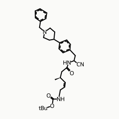 C[C@H](/C=C\CNC(=O)OC(C)(C)C)CC(=O)NC(C#N)Cc1ccc(C2CCN(Cc3ccccc3)CC2)cc1